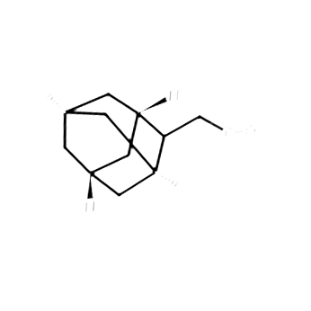 O=CCC1[C@H]2C[C@@H]3C[C@@H](C[C@H]1C3)C2